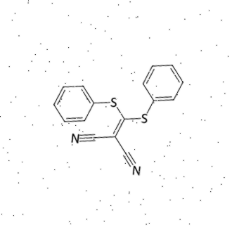 N#CC(C#N)=C(Sc1ccccc1)Sc1ccccc1